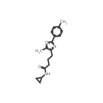 Cc1ccc(-c2nc(CCCC(=O)NC3CC3)c(C)o2)cc1